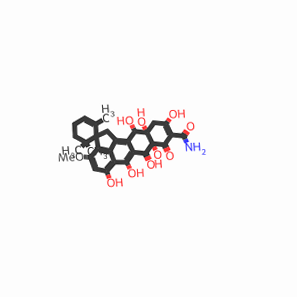 COc1cc(O)c2c(O)c3c(c4c2c1C1(C4)C(C)=CCCC1(C)C)C(O)C1(O)CC(O)=C(C(N)=O)C(=O)C1(O)C3=O